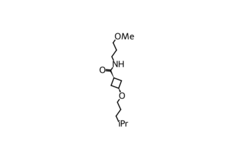 COCCCNC(=O)[C@H]1C[C@@H](OCCCC(C)C)C1